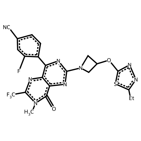 CCc1nnc(OC2CN(c3nc(-c4ccc(C#N)cc4F)c4nc(C(F)(F)F)n(C)c(=O)c4n3)C2)s1